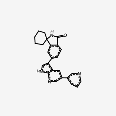 O=C1NC2(CCCCC2)c2cc(-c3c[nH]c4ncc(-c5cccnc5)cc34)ccc21